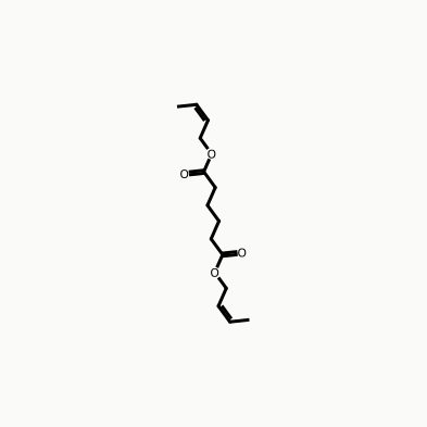 C/C=C\COC(=O)CCCCC(=O)OC/C=C\C